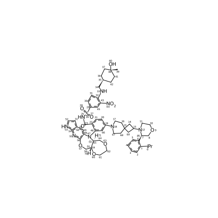 CC(C)c1ccccc1[C@@H]1COCCN1C1CC2(CCN(c3ccc(C(=O)NS(=O)(=O)c4ccc(NC[C@H]5CC[C@](C)(O)CC5)c([N+](=O)[O-])c4)c(N4c5cc6cc[nH]c6nc5OC[C@H]5OCCOC[C@@H]54)c3)CC2)C1